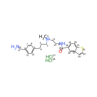 CN(CCCc1ccc(CN)cc1)CCNC(=O)c1ccc2sccc2c1.Cl.Cl